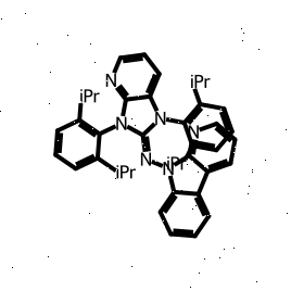 CC(C)c1cccc(C(C)C)c1-n1/c(=N\n2c3ccccc3c3cccnc32)n(-c2c(C(C)C)cccc2C(C)C)c2ncccc21